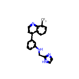 FC(F)(F)c1cccc2c(-c3cccc(NCc4ncc[nH]4)c3)[c]cnc12